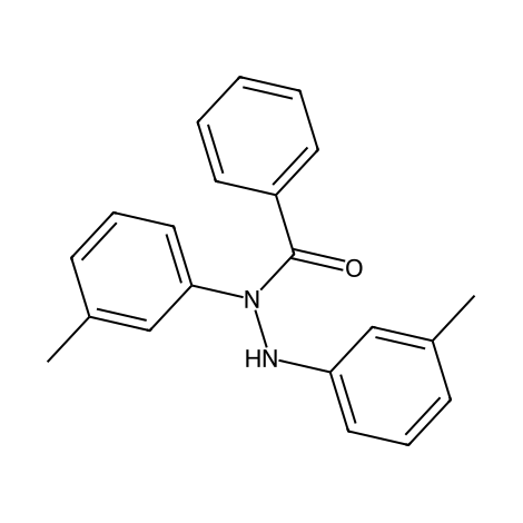 Cc1cccc(NN(C(=O)c2ccccc2)c2cccc(C)c2)c1